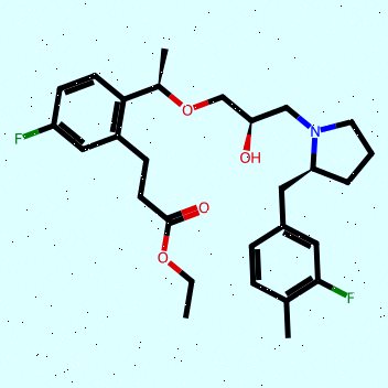 CCOC(=O)CCc1cc(F)ccc1[C@@H](C)OC[C@H](O)CN1CCC[C@H]1Cc1ccc(C)c(F)c1